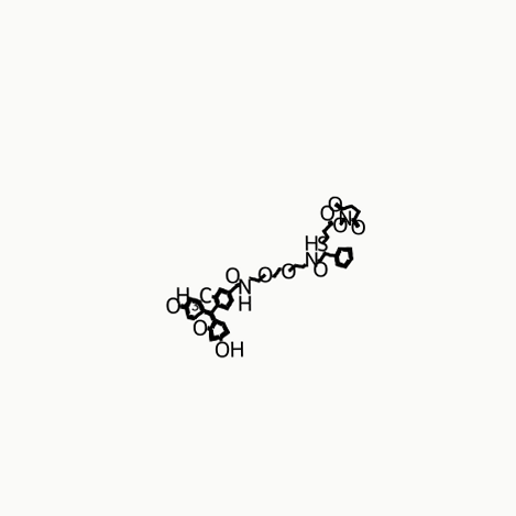 Cc1cc(C(=O)NCCOCCOCCNC(=O)C(SCCC(=O)ON2C(=O)CCC2=O)c2ccccc2)ccc1-c1c2ccc(=O)cc-2oc2cc(O)ccc12